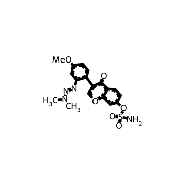 COc1ccc(-c2coc3cc(OS(N)(=O)=O)ccc3c2=O)c(N=NN(C)C)c1